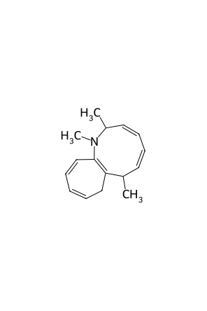 CC1/C=C\C=C/C(C)N(C)C2=C1CC=CC=C2